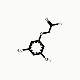 Cc1cc(C)cc(OCC(=O)C(C)(C)C)c1